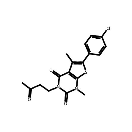 CC(=O)CCn1c(=O)c2c(C)c(-c3ccc(Cl)cc3)sc2n(C)c1=O